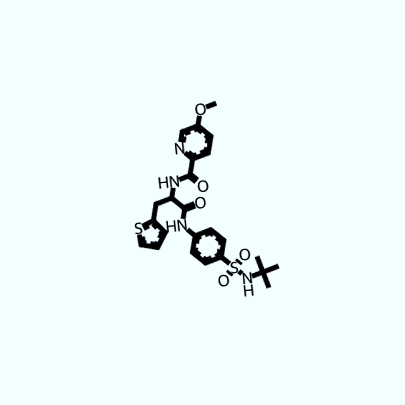 COc1ccc(C(=O)NC(Cc2cccs2)C(=O)Nc2ccc(S(=O)(=O)NC(C)(C)C)cc2)nc1